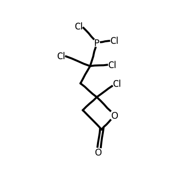 O=C1CC(Cl)(CC(Cl)(Cl)P(Cl)Cl)O1